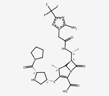 C[C@H]1C(S[C@@H]2CN[C@H](C(=O)N3CCCC3)C2)=C(C(=O)O)N2C(=O)[C@H]([C@@H](C)NC(=O)Cn3nc(C(F)(F)F)nc3N)C12